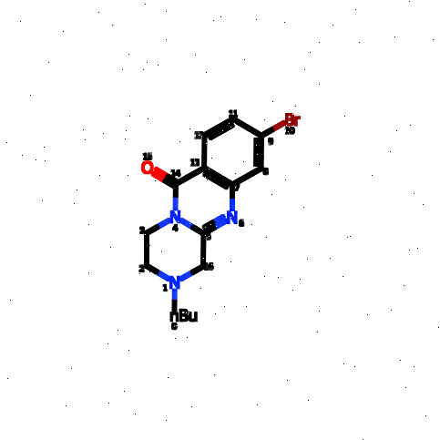 CCCCN1CCn2c(nc3cc(Br)ccc3c2=O)C1